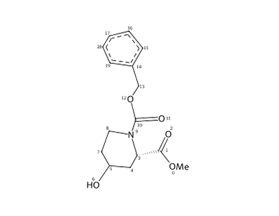 COC(=O)[C@@H]1CC(O)CCN1C(=O)OCc1ccccc1